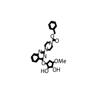 COC1CC(Oc2nc(N3CCN(C(=O)OCc4ccccc4)CC3)nc3ccccc23)C(O)C1O